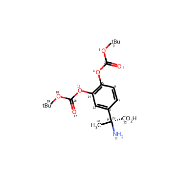 CC(C)(C)OC(=O)Oc1ccc([C@](C)(N)C(=O)O)cc1OC(=O)OC(C)(C)C